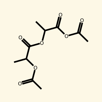 CC(=O)OC(=O)C(C)OC(=O)C(C)OC(C)=O